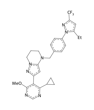 CCc1cc(C(F)(F)F)nn1-c1ccc(CN2CCCn3nc(-c4c(OC)ncnc4C4CC4)cc32)cc1